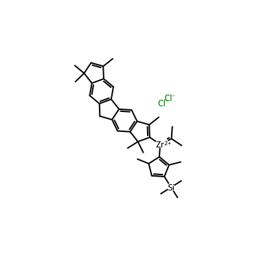 CC1=CC(C)(C)c2cc3c(cc21)-c1cc2c(cc1C3)C(C)(C)[C]([Zr+2]([C]1=C(C)C([Si](C)(C)C)=CC1C)=[C](C)C)=C2C.[Cl-].[Cl-]